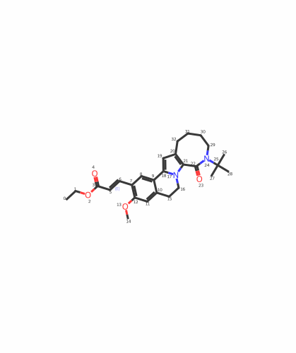 CCOC(=O)/C=C/c1cc2c(cc1OC)CCn1c-2cc2c1C(=O)N(C(C)(C)C)CCCC2